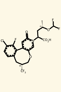 C[C@@H](CC(C(=O)O)n1cc2c(cc1=O)-c1c(ccc(Cl)c1F)C[C@@H](C(F)(F)F)CO2)OC(F)F